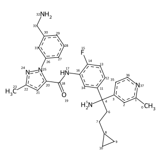 Cc1cc(C(N)(CCC2CC2)c2ccc(F)c(NC(=O)c3cc(C)nn3-c3cccc(CN)c3)c2)ccn1